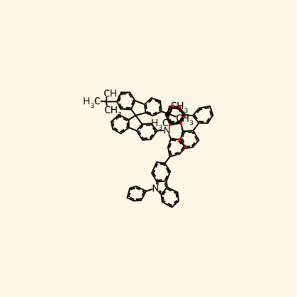 CC(C)(C)c1ccc2c(c1)C1(c3ccccc3-c3ccc(N(c4cccc(-c5ccc6c(c5)c5ccccc5n6-c5ccccc5)c4)c4ccccc4-c4ccccc4-c4ccccc4-c4ccccc4)cc31)c1cc(C(C)(C)C)ccc1-2